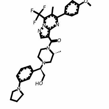 COc1ccc(-c2nc3c(C(=O)N4CCN([C@@H](CO)c5cccc(N6CCCC6)c5)C[C@H]4C)cnn3c(C(F)(F)F)c2C)cc1